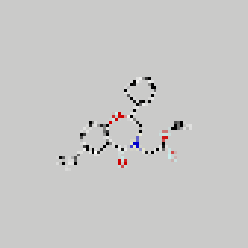 CC(C)(C)OC(=O)CN1CC(c2ccccc2)Oc2ccc([N+](=O)[O-])cc2C1=O